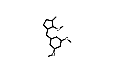 COC1CC(CC2CCC(C)C2OC)CC(OC)C1